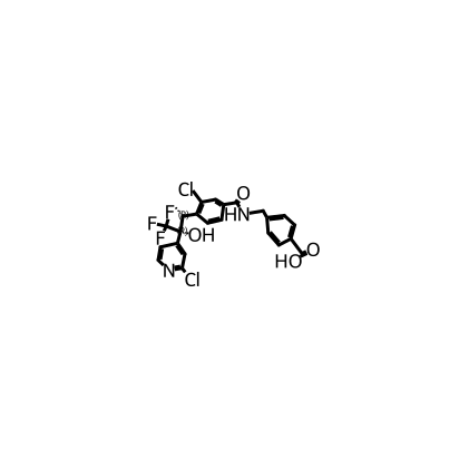 C[C@H](c1ccc(C(=O)NCc2ccc(C(=O)O)cc2)cc1Cl)[C@@](O)(c1ccnc(Cl)c1)C(F)(F)F